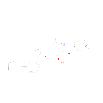 CC(=O)N[C@@H](Cc1cc(F)cc(F)c1)[C@@H](O)CNC1(c2cccc(C3CCCC3)c2)CC1